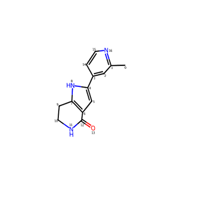 Cc1cc(-c2cc3c([nH]2)CCNC3=O)ccn1